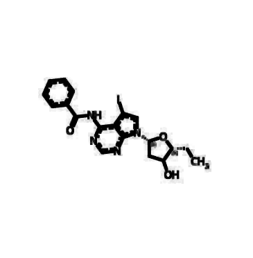 CC[C@H]1O[C@@H](n2cc(I)c3c(NC(=O)c4ccccc4)ncnc32)CC1O